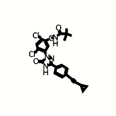 CC(C)(C)C(=O)NCc1cc(-n2nc(-c3ccc(C#CC4CC4)cc3)[nH]c2=O)c(Cl)cc1Cl